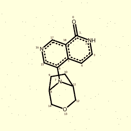 O=c1[nH]ccc2c(N3C4CCC3COC4)cncc12